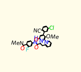 CNC(=O)c1ccc(NC(=O)C(Cc2ccccn2)n2cc(OC)c(-c3cc(Cl)ccc3C#N)cc2=O)cc1F